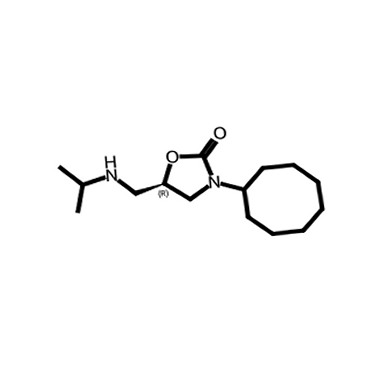 CC(C)NC[C@@H]1CN(C2CCCCCCC2)C(=O)O1